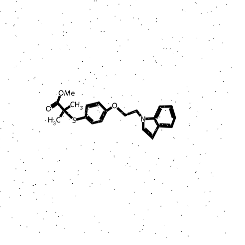 COC(=O)C(C)(C)Sc1ccc(OCCn2ccc3ccccc32)cc1